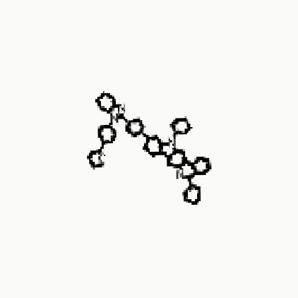 c1ccc(-c2ccc(-n3c(-c4ccc(-c5ccc6c7cc8nc(-c9ccccc9)c9ccccc9c8cc7n(-c7ccccc7)c6c5)cc4)nc4ccccc43)cc2)cc1